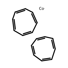 C1=CC=CC=CC=C1.C1=CC=CC=CC=C1.[Co]